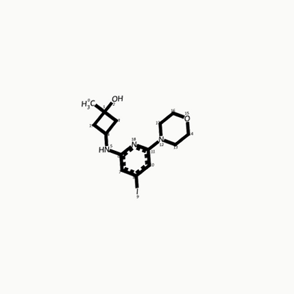 CC1(O)CC(Nc2cc(I)cc(N3CCOCC3)n2)C1